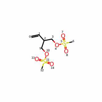 C=CC(COS(C)(=O)=O)COS(C)(=O)=O